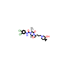 C[C@H]1C(=O)N2[C@@H](CCCN3CCC4(CC4)[C@H](O)C3)CO[C@@H]2CN1C(=O)Nc1ccc(Cl)c(Cl)c1